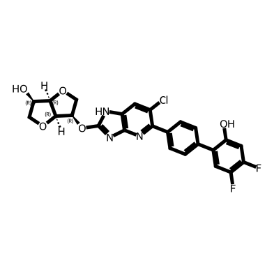 Oc1cc(F)c(F)cc1-c1ccc(-c2nc3nc(O[C@@H]4CO[C@H]5[C@@H]4OC[C@H]5O)[nH]c3cc2Cl)cc1